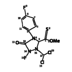 COC(=S)C1N(c2ccc(F)cc2)C(=O)N(F)N1C(Cl)Cl